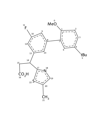 COc1ccc(C(C)(C)C)cc1-c1cc(F)cc(C(CC(=O)O)c2ncc(C)s2)c1